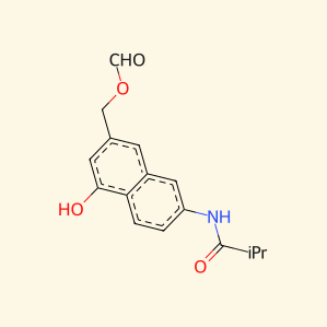 CC(C)C(=O)Nc1ccc2c(O)cc(COC=O)cc2c1